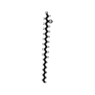 CCCCCCCCCCCCCCCCCCCCCCCCC(=O)CCC